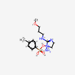 CCOCCCNC1=NCC[N+]1(N)OS(=O)(=O)c1ccc(C)cc1